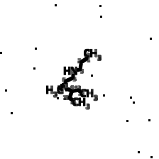 CCCCNCCN(C)C(CC)CC